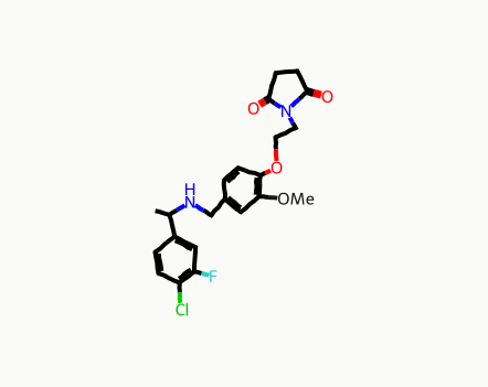 COc1cc(CNC(C)c2ccc(Cl)c(F)c2)ccc1OCCN1C(=O)CCC1=O